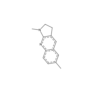 Cc1ccc2nc3c(cc2c1)CCN3C